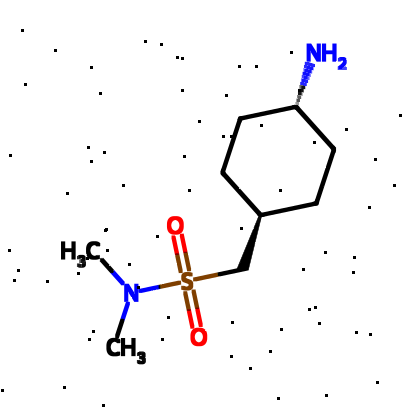 CN(C)S(=O)(=O)C[C@H]1CC[C@H](N)CC1